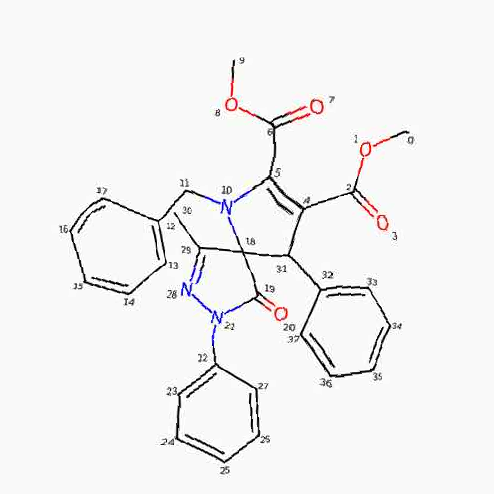 COC(=O)C1=C(C(=O)OC)N(Cc2ccccc2)C2(C(=O)N(c3ccccc3)N=C2C)C1c1ccccc1